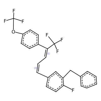 Fc1ccc(/C=C\C=C(/c2ccc(OC(F)(F)F)cc2)C(F)(F)F)cc1Cc1ccccc1